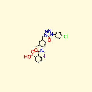 Cc1cc(Cn2nnn(-c3ccc(Cl)cc3)c2=O)ccc1N(C)C(=O)c1c(I)cccc1C(=O)O